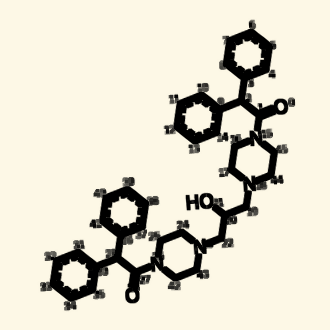 O=C(C(c1ccccc1)c1ccccc1)N1CCN(CC(O)CN2CCN(C(=O)C(c3ccccc3)c3ccccc3)CC2)CC1